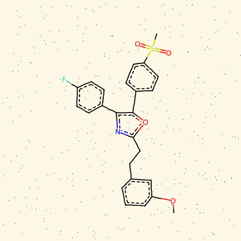 COc1cccc(CCc2nc(-c3ccc(F)cc3)c(-c3ccc(S(C)(=O)=O)cc3)o2)c1